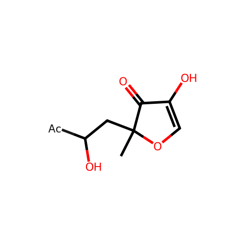 CC(=O)C(O)CC1(C)OC=C(O)C1=O